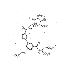 CCCCC[C@@H](C(=O)NCNC(=O)c1ccc(-c2cc(OCC(=O)O)cc(C(=O)N[C@@H](CC(=O)O)C(=O)O)c2)o1)[C@@H](CC)N(O)C=O